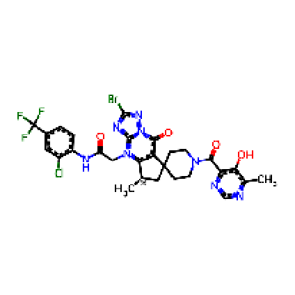 Cc1ncnc(C(=O)N2CCC3(CC2)C[C@@H](C)c2c3c(=O)n3nc(Br)nc3n2CC(=O)Nc2ccc(C(F)(F)F)cc2Cl)c1O